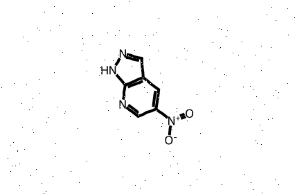 O=[N+]([O-])c1cnc2[nH]ncc2c1